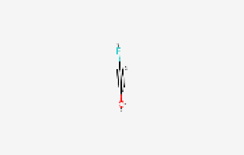 [O]C#CF